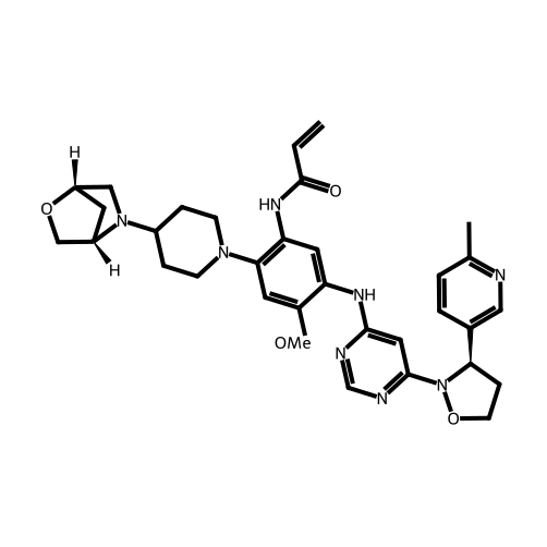 C=CC(=O)Nc1cc(Nc2cc(N3OCC[C@@H]3c3ccc(C)nc3)ncn2)c(OC)cc1N1CCC(N2C[C@@H]3C[C@H]2CO3)CC1